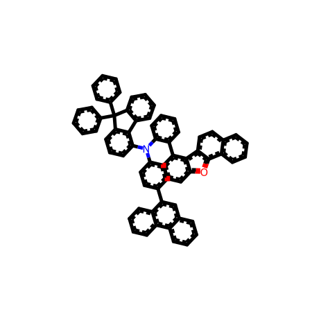 c1ccc(C2(c3ccccc3)c3ccccc3-c3c(N(c4ccc(-c5cc6ccccc6c6ccccc56)cc4)c4ccccc4-c4cccc5oc6c7ccccc7ccc6c45)cccc32)cc1